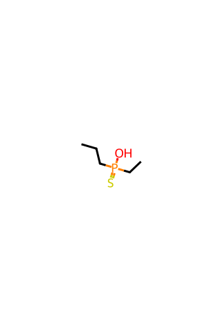 CCCP(O)(=S)CC